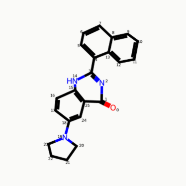 O=c1nc(-c2cccc3ccccc23)[nH]c2ccc(N3CCCC3)cc12